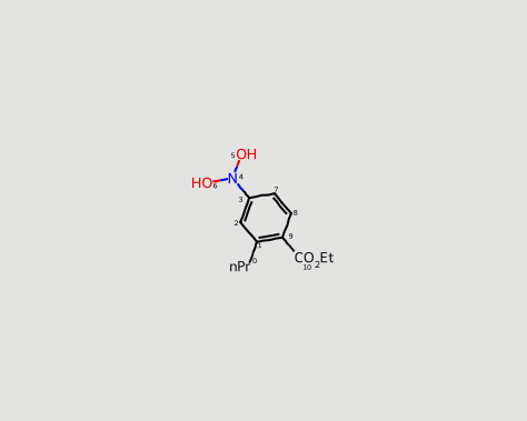 CCCc1cc(N(O)O)ccc1C(=O)OCC